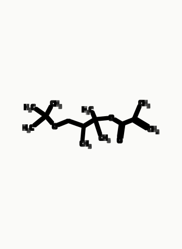 C=C(C)C(=O)OC(C)(C)C(C)COC(C)(C)C